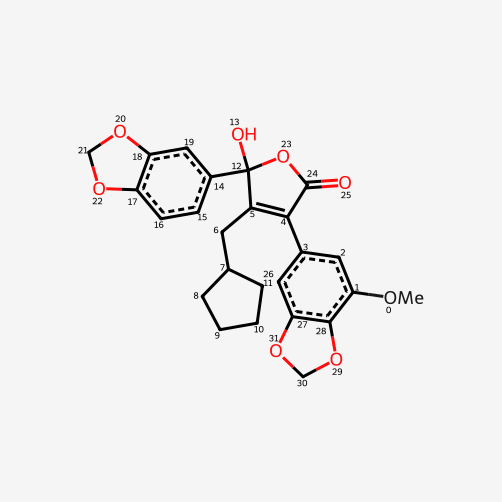 COc1cc(C2=C(CC3CCCC3)C(O)(c3ccc4c(c3)OCO4)OC2=O)cc2c1OCO2